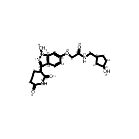 Cn1nc(C2CCC(=O)NC2=O)c2ccc(OCC(=O)NCC3CCC(O)C3)cc21